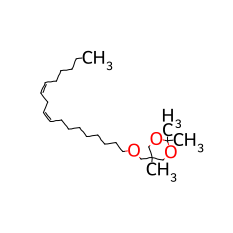 CCCCC/C=C\C/C=C\CCCCCCCCOCC1(C)COC(C)(C)OC1